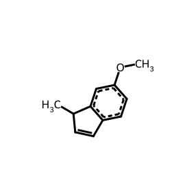 COc1ccc2c(c1)C(C)C=C2